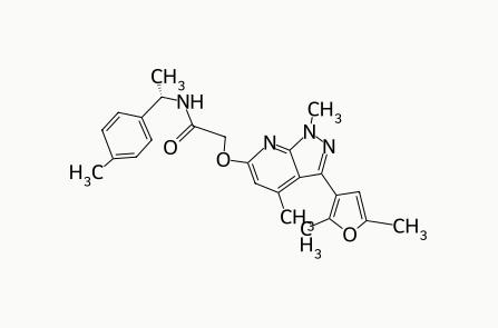 Cc1ccc([C@H](C)NC(=O)COc2cc(C)c3c(-c4cc(C)oc4C)nn(C)c3n2)cc1